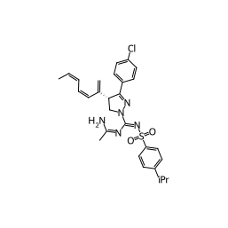 C=C(/C=C\C=C/C)[C@H]1CN(C(/N=C(/C)N)=N/S(=O)(=O)c2ccc(C(C)C)cc2)N=C1c1ccc(Cl)cc1